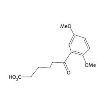 COc1ccc(OC)c(C(=O)CCCCC(=O)O)c1